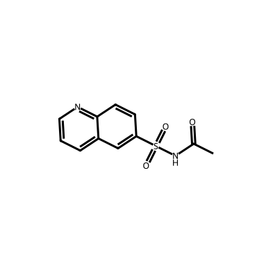 CC(=O)NS(=O)(=O)c1ccc2ncccc2c1